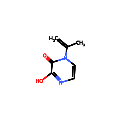 C=C(C)n1ccnc(O)c1=O